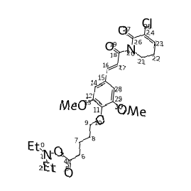 CCN(CC)OC(=O)CCCCOc1c(OC)cc(C=CC(=O)N2CCC=C(Cl)C2=O)cc1OC